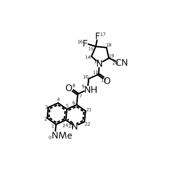 CNc1cccc2c(C(=O)NCC(=O)N3CC(F)(F)CC3C#N)ccnc12